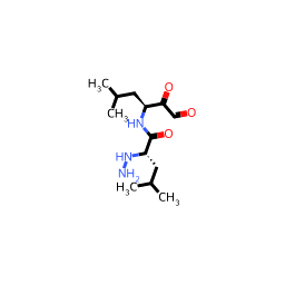 CC(C)C[C@H](NC(=O)[C@H](CC(C)C)NN)C(=O)C=O